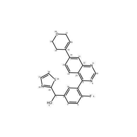 OC(c1ccc(F)c(-c2ncnc3cc(C4=CCOCC4)ccc23)c1)c1nccs1